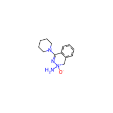 N[N+]1([O-])Cc2ccccc2C(N2CCCCC2)=N1